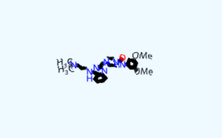 COc1cc(NC(=O)N2CCN(Cc3nc(NCCCN(C)C)c4ccccc4n3)CC2)cc(OC)c1